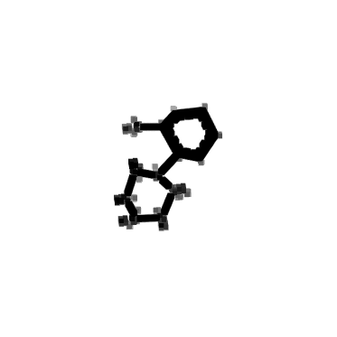 Cc1ccccc1N1[SiH2]N[SiH2]N[SiH2]1